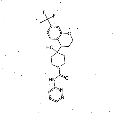 O=C(Nc1cccnn1)N1CCC(O)(C2CCOc3cc(C(F)(F)F)ccc32)CC1